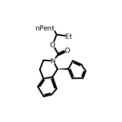 CCCCCC(CC)OC(=O)N1CCc2ccccc2[C@@H]1c1ccccc1